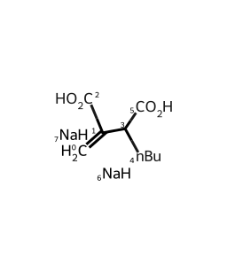 C=C(C(=O)O)C(CCCC)C(=O)O.[NaH].[NaH]